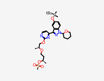 C[C@H](CCO[C@@H](C)COc1nccc(-c2nn(C3CCCCO3)c3ccc(O[Si](C)(C)C(C)(C)C)cc23)n1)OS(C)(=O)=O